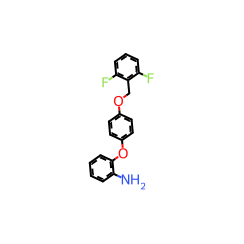 Nc1ccccc1Oc1ccc(OCc2c(F)cccc2F)cc1